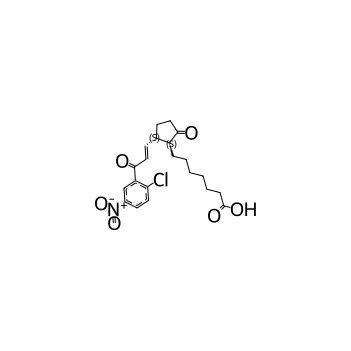 O=C(O)CCCCCC[C@@H]1C(=O)CC[C@H]1C=CC(=O)c1cc([N+](=O)[O-])ccc1Cl